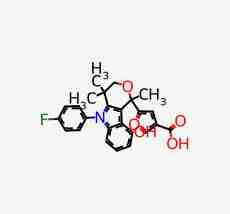 CC1(C)COC(C)(c2cc(C(=O)O)co2)c2c1n(-c1ccc(F)cc1)c1cccc(O)c21